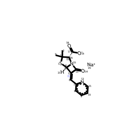 CC1(C)S[C@@H]2/C(=C/c3ccccn3)C(=O)N2[C@H]1C(=O)[O-].[Na+]